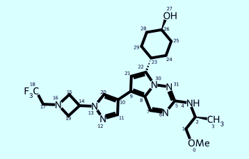 COC[C@H](C)Nc1ncc2c(-c3cnn(C4CN(CC(F)(F)F)C4)c3)cc([C@H]3CC[C@H](O)CC3)n2n1